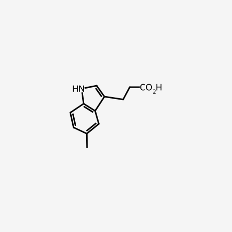 Cc1ccc2[nH]cc(CCC(=O)O)c2c1